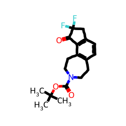 CC(C)(C)OC(=O)N1CCc2ccc3c(c2CC1)C(=O)C(F)(F)C3